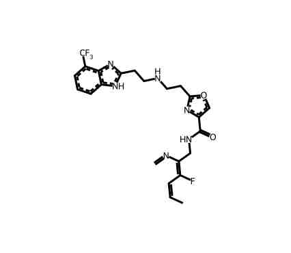 C=N/C(CNC(=O)c1coc(CCNCCc2nc3c(C(F)(F)F)cccc3[nH]2)n1)=C(F)\C=C/C